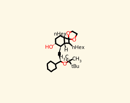 CCCCCCC1[C@@H]2[C@@H](C#C[C@@H](O[Si](C)(C)C(C)(C)C)C3CCCCC3)[C@H](O)CC[C@]2(CCCCCC)C12OCCO2